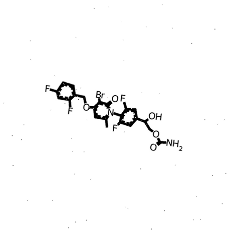 Cc1cc(OCc2ccc(F)cc2F)c(Br)c(=O)n1-c1c(F)cc(C(O)COC(N)=O)cc1F